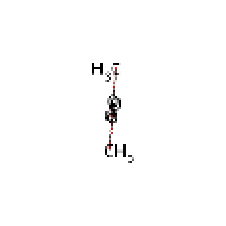 CCCCCCCCCCCCCCCCCCOC(=O)CCSSCCC(=O)OCCCCCCCCCCCCCCCCCC